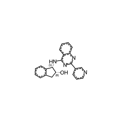 O[C@@H]1Cc2ccccc2[C@@H]1Nc1nc(-c2cccnc2)nc2ccccc12